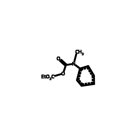 CCOC(=O)OC(=O)N(C)c1ccccc1